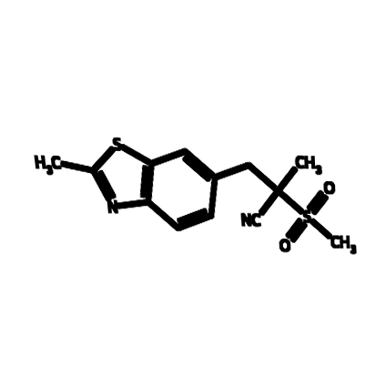 Cc1nc2ccc(CC(C)(C#N)S(C)(=O)=O)cc2s1